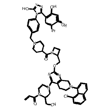 C=CC(=O)N1CCN(c2nc(OCC3CCN3C(=O)C3CCN(Cc4ccc(-n5c(O)nnc5-c5cc(C(C)C)c(O)cc5O)cc4)CC3)nc3c2CCN(c2cccc4cccc(Cl)c24)C3)CC1CC#N